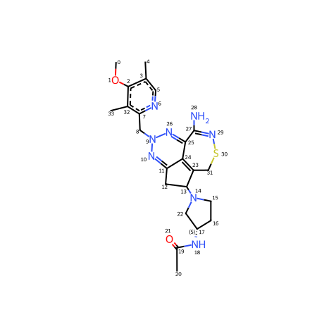 COc1c(C)cnc(CN2N=C3CC(N4CC[C@H](NC(C)=O)C4)C4=C3C(=N2)C(N)=NSC4)c1C